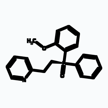 COc1ccccc1[P@](=O)(CCc1ccccn1)c1ccccc1